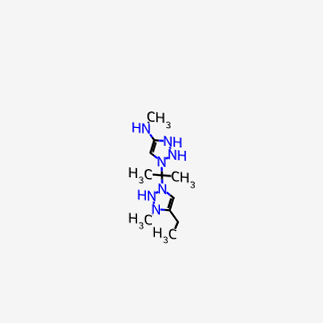 CCC1=CN(C(C)(C)N2C=C(NC)NN2)NN1C